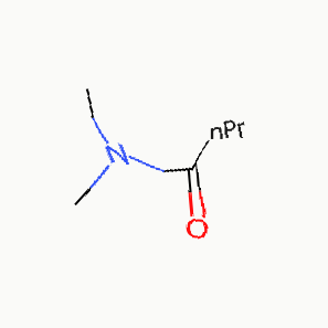 CCCC(=O)N(C)C